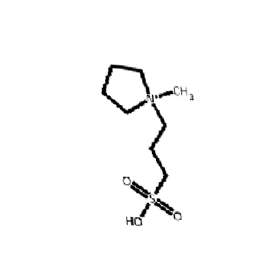 C[N+]1(CCCS(=O)(=O)O)CCCC1